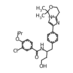 CC(C)Oc1ccc(C(=O)NC(CCO)Cc2ccc(C3=C[N+]4C(=N3)CCOC4(C)C)cc2)cc1Cl